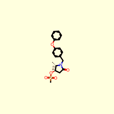 C[C@H]1[C@H](OS(C)(=O)=O)CC(=O)N1Cc1ccc(Oc2ccccc2)cc1